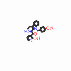 O=C(c1cccnc1O)C1NCCc2c1n(Cc1ccc(O)cc1)c1ccccc21